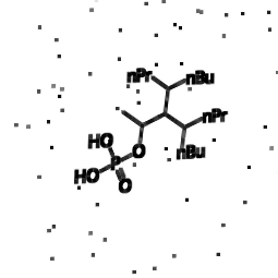 CCCCC(CCC)C(C(CCC)CCCC)C(C)OP(=O)(O)O